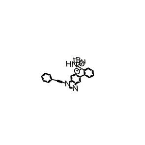 CC(C)(C)NS(=O)(=O)c1ccccc1-c1ccc2c(c1)ncn2C#Cc1ccccc1